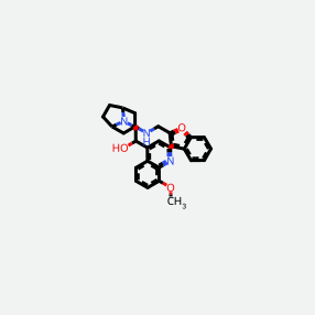 COc1cccc2c(C(O)CN3C4CCC3CC(NCc3cc5ccccc5o3)C4)ccnc12